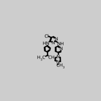 CC(C)c1ccc(Nc2nc(Nc3ccc(N4CCN(C)CC4)cn3)ncc2Cl)cc1